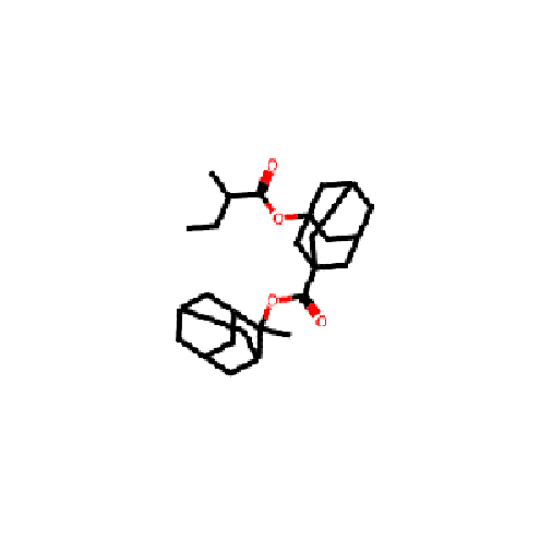 CCC(C)C(=O)OC12CC3CC(C1)CC(C(=O)OC1(C)C4CC5CC(C4)CC1C5)(C3)C2